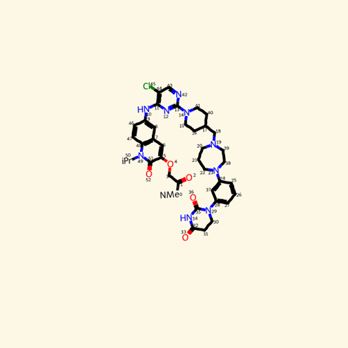 CNC(=O)COc1cc2cc(Nc3nc(N4CCC(CN5CCCN(c6cccc(N7CCC(=O)NC7=O)c6)CC5)CC4)ncc3Cl)ccc2n(C(C)C)c1=O